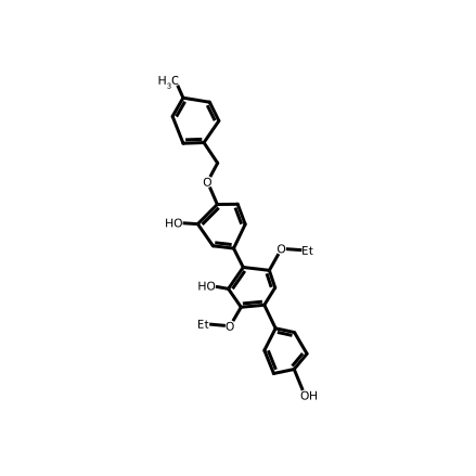 CCOc1cc(-c2ccc(O)cc2)c(OCC)c(O)c1-c1ccc(OCc2ccc(C)cc2)c(O)c1